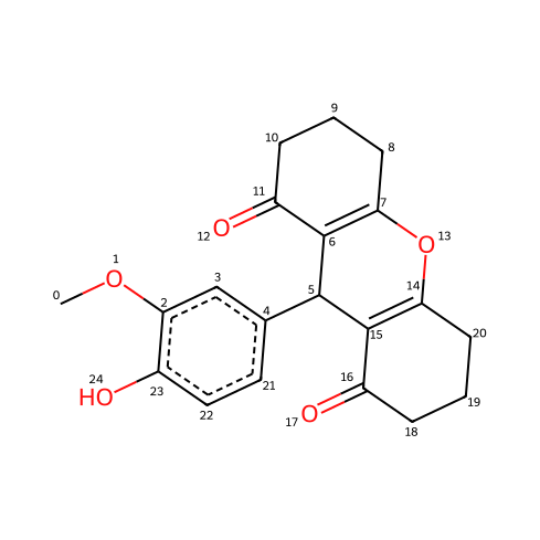 COc1cc(C2C3=C(CCCC3=O)OC3=C2C(=O)CCC3)ccc1O